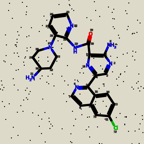 Nc1ncc(-c2nccc3cc(Cl)ccc23)nc1C(=O)Nc1ncccc1N1CCC(N)CC1